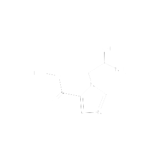 COC(=O)c1cncn1CC(C)N